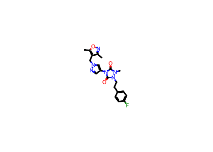 Cc1noc(C)c1Cn1cc(-n2c(=O)n(C)n(CCc3ccc(F)cc3)c2=O)cn1